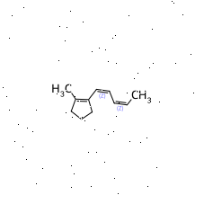 C/C=C\C=C/C1=C(C)CCC1